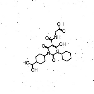 O=C(O)CNC(=O)c1c(O)n(C2CCCCC2)c(=O)n(C2CCC(C(O)O)CC2)c1=O